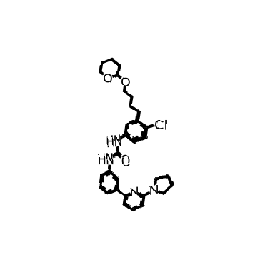 O=C(Nc1cccc(-c2cccc(N3CCCC3)n2)c1)Nc1ccc(Cl)c(CCCCOC2CCCCO2)c1